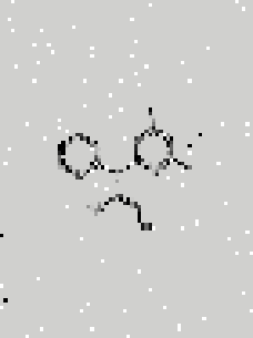 Cc1cc(C)nc(N(C(N)=NO)c2cnccn2)c1